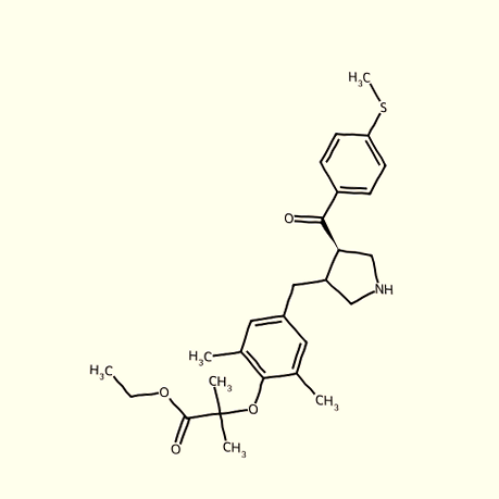 CCOC(=O)C(C)(C)Oc1c(C)cc(CC2CNC[C@@H]2C(=O)c2ccc(SC)cc2)cc1C